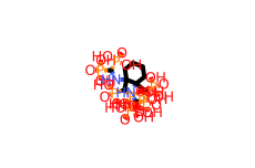 O=P(O)(O)C(NC1(C(P(=O)(O)O)P(=O)(O)O)CCCCC1(NC(P(=O)(O)O)P(=O)(O)O)C(P(=O)(O)O)P(=O)(O)O)P(=O)(O)O